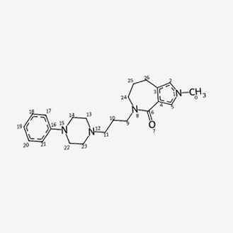 Cn1cc2c(c1)C(=O)N(CCCN1CCN(c3ccccc3)CC1)CCC2